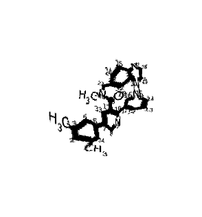 Cc1cc(C)cc(-c2cnc(-c3cccnc3)c(C(=O)N(C)Cc3ccc4nccnc4c3)c2)c1